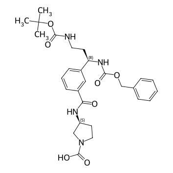 CC(C)(C)OC(=O)NCC[C@@H](NC(=O)OCc1ccccc1)c1cccc(C(=O)N[C@H]2CCN(C(=O)O)C2)c1